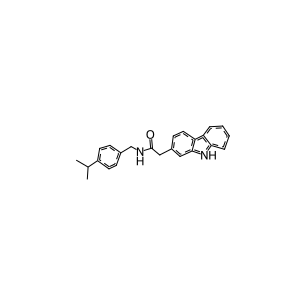 CC(C)c1ccc(CNC(=O)Cc2ccc3c(c2)[nH]c2ccccc23)cc1